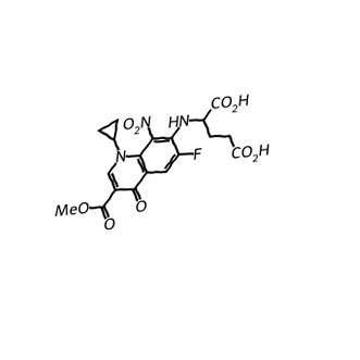 COC(=O)c1cn(C2CC2)c2c([N+](=O)[O-])c(NC(CCC(=O)O)C(=O)O)c(F)cc2c1=O